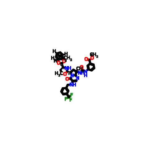 CC[C@H](NC(=O)[C@@H]1C[C@@](C)(NC(=O)Nc2cccc(C(=O)OC)c2)c2ncc(NCc3cccc(C(F)(F)F)c3)c(=O)n21)B1O[C@@H]2C[C@@H]3C[C@@H](C3(C)C)[C@]2(C)O1